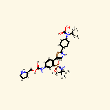 CC(C)N(C(=O)O)C1CCC(c2ncc(-c3ccc(NC(=O)OCC4CCCN4)cc3S(=O)(=O)NC(C)(C)C)s2)CC1